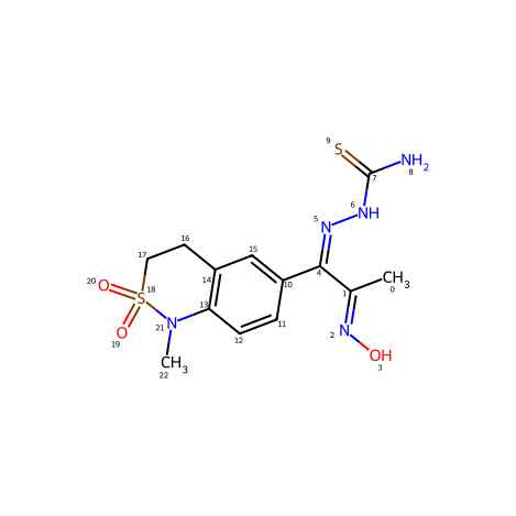 CC(=NO)C(=NNC(N)=S)c1ccc2c(c1)CCS(=O)(=O)N2C